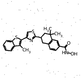 Cc1c(-c2csc(C3Cc4ccc(C(=O)NO)cc4C(C)(C)C3)n2)sc2ccccc12